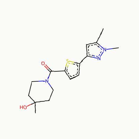 Cc1cc(-c2ccc(C(=O)N3CCC(C)(O)CC3)s2)nn1C